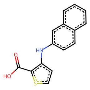 O=C(O)c1sccc1Nc1ccc2ccccc2c1